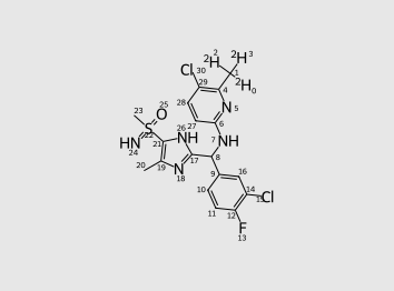 [2H]C([2H])([2H])c1nc(NC(c2ccc(F)c(Cl)c2)c2nc(C)c(S(C)(=N)=O)[nH]2)ccc1Cl